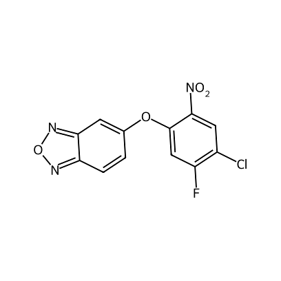 O=[N+]([O-])c1cc(Cl)c(F)cc1Oc1ccc2nonc2c1